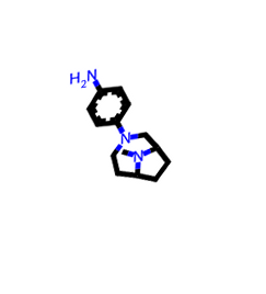 CN1C2CCC1CN(c1ccc(N)cc1)CC2